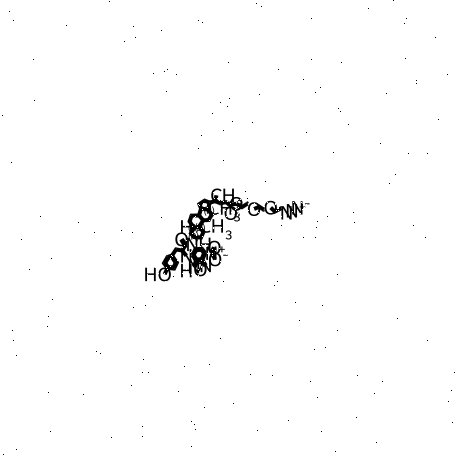 CC(CCC(=O)OCCOCCOCCN=[N+]=[N-])C1CCC2C3CC[C@@H]4C[C@H](NC(=O)C(Cc5ccc(O)cc5)Nc5ccc([N+](=O)[O-])c6nonc56)CC[C@]4(C)C3CC[C@]12C